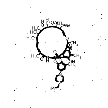 CO[C@H]1/C=C/O[C@@]2(C)Oc3c(C)c(O)c4c(=O)c(c5oc6cc(N7CCN(CC(C)C)CC7)cc(C)c6nc-5c4c3C2=O)NC(=O)/C(C)=C\C=C\[C@H](C)[C@H](O)[C@@H](C)[C@@H](O)[C@@H](C)[C@H](OC(C)=O)[C@@H]1C